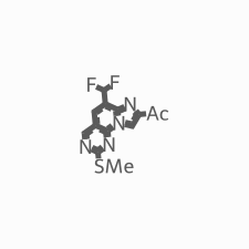 CSc1ncc2cc(C(F)F)c3nc(C(C)=O)cn3c2n1